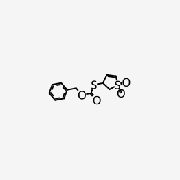 O=C(OCc1ccccc1)SC1C=CS(=O)(=O)C1